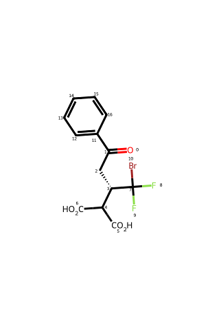 O=C(C[C@@H](C(C(=O)O)C(=O)O)C(F)(F)Br)c1ccccc1